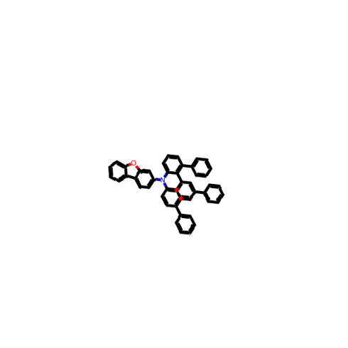 c1ccc(-c2ccc(N(c3ccc4c(c3)oc3ccccc34)c3cccc(-c4ccccc4)c3-c3cccc(-c4ccccc4)c3)cc2)cc1